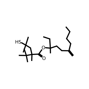 C=C(CCCC)CCC(C)(CC)OC(=O)C(C)(CC(C)(C)S)C(C)(C)C